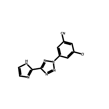 N#Cc1cc(Cl)cc(-n2nnc(-c3ncc[nH]3)n2)c1